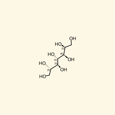 OC[C@H](O)[C@H](O)[C@H](O)[C@H](O)[C@@H](O)CO